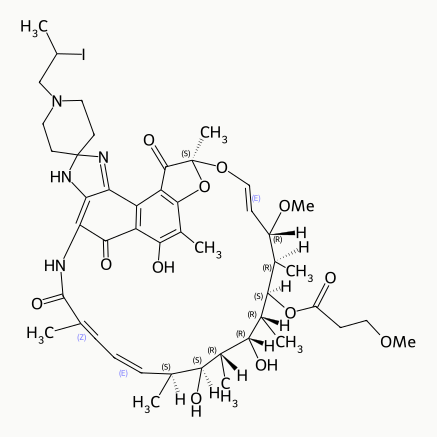 COCCC(=O)O[C@H]1[C@H](C)[C@H](O)[C@H](C)[C@@H](O)[C@@H](C)/C=C/C=C(/C)C(=O)NC2=C3NC4(CCN(CC(C)I)CC4)N=C3c3c(c(O)c(C)c4c3C(=O)[C@@](C)(O/C=C/[C@H](OC)[C@H]1C)O4)C2=O